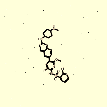 CNC1CCC(Nc2ncc3cc(-c4cc(F)c(NS(=O)(=O)c5ccccc5Cl)nc4OC)ccc3n2)CC1